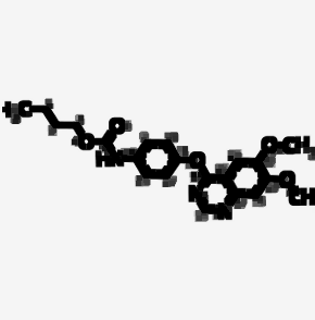 CCCCOC(=O)Nc1ccc(Oc2ncnc3cc(OC)c(OC)cc23)cc1